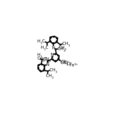 CC(=Nc1c(C(C)C)cccc1C(C)C)c1cc(C)cc(C(C)=Nc2c(C(C)C)cccc2C(C)C)n1.[Cl-].[Cl-].[Cl-].[Fe+3]